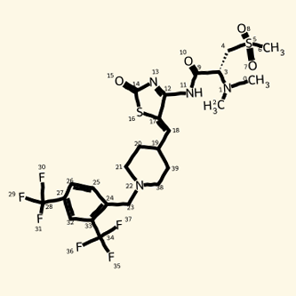 CN(C)[C@@H](CS(C)(=O)=O)C(=O)NC1=NC(=O)S/C1=C\C1CCN(Cc2ccc(C(F)(F)F)cc2C(F)(F)F)CC1